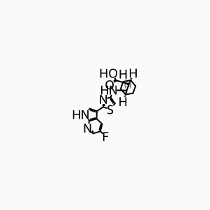 O=C(O)[C@@H]1C(Nc2csc(-c3c[nH]c4ncc(F)cc34)n2)[C@H]2CC[C@@H]1CC2